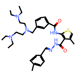 CCN(CC)CCN(CCN(CC)CC)Cc1cccc(C(=O)Nc2scc(C)c2C(=O)NN=Cc2ccc(C)cc2)c1